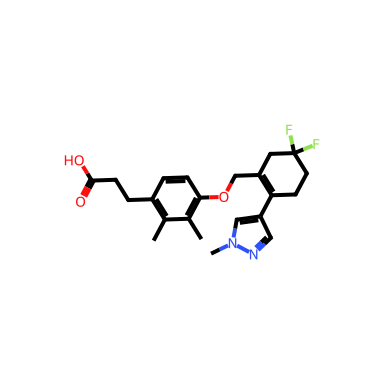 Cc1c(CCC(=O)O)ccc(OCC2=C(c3cnn(C)c3)CCC(F)(F)C2)c1C